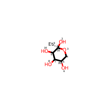 CC[C@]1(O)OC[C@@H](O)C(O)C1O